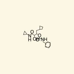 O=C(NCc1ccccc1)OC(CC1CCC1)C(O)C(=O)NC1CC1